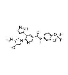 COC1CN(c2ncc(C(=O)Nc3ccc(OC(F)(F)Cl)cc3)cc2-c2ccn[nH]2)CC1N